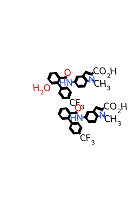 Cn1c(C(=O)O)cc2cc(NC(=O)c3ccccc3-c3ccc(C(F)(F)F)cc3)ccc21.Cn1c(C(=O)O)cc2cc(NC(=O)c3ccccc3-c3ccc(C(F)(F)F)cc3)ccc21.O